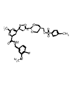 COc1cc(CNC(=O)c2cc(C3=NO[C@H]([C@H]4OC[C@H](COS(=O)(=O)c5ccc(C)cc5)CO4)C3)nc(C)n2)ccc1F